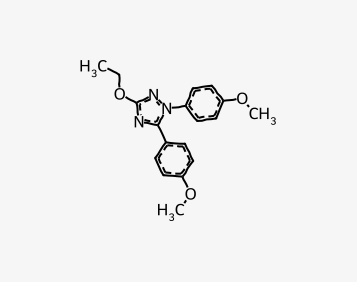 CCOc1nc(-c2ccc(OC)cc2)n(-c2ccc(OC)cc2)n1